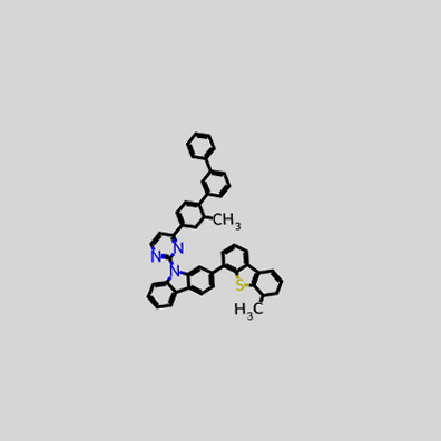 CC1CC(c2ccnc(-n3c4ccccc4c4ccc(-c5cccc6c7c(sc56)C(C)CC=C7)cc43)n2)=CC=C1c1cccc(-c2ccccc2)c1